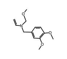 C=CN(COC)Cc1ccc(OC)c(OC)c1